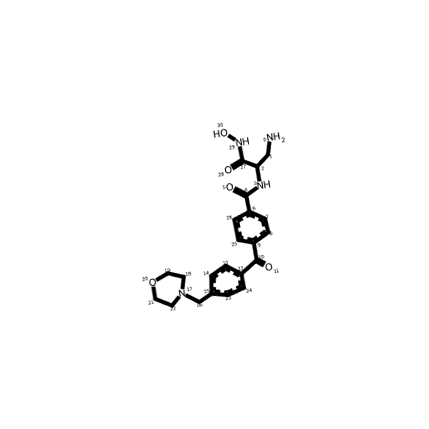 NCC(NC(=O)c1ccc(C(=O)c2ccc(CN3CCOCC3)cc2)cc1)C(=O)NO